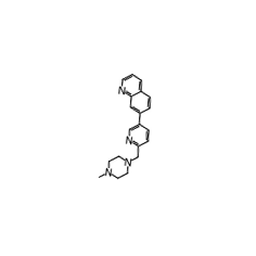 CN1CCN(Cc2ccc(-c3ccc4cccnc4c3)cn2)CC1